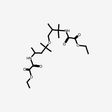 CCOC(=O)C(=O)NC(C)CC(C)(C)OCC(C)C(C)(C)NC(=O)C(=O)OCC